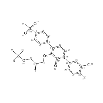 C[C@H](COc1c(-c2ccc(S(C)(=O)=O)cc2)cnn(-c2ccc(F)c(Cl)c2)c1=O)COC(C)(C)C